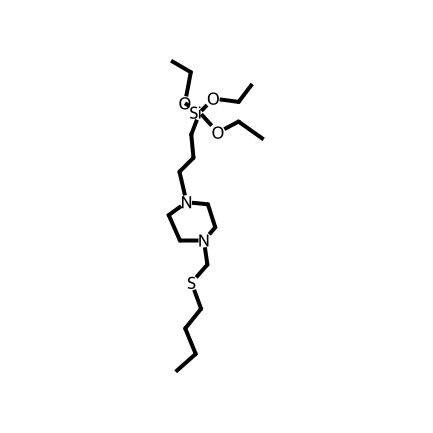 CCCCSCN1CCN(CCC[Si](OCC)(OCC)OCC)CC1